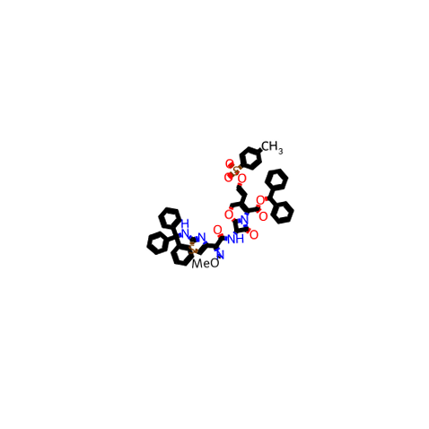 CON=C(C(=O)NC1C(=O)N2C(C(=O)OC(c3ccccc3)c3ccccc3)=C(C=COS(=O)(=O)c3ccc(C)cc3)COC12)c1csc(NC(c2ccccc2)(c2ccccc2)c2ccccc2)n1